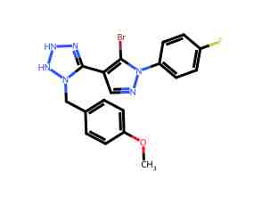 COc1ccc(CN2NNN=C2c2cnn(-c3ccc(F)cc3)c2Br)cc1